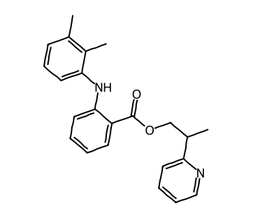 Cc1cccc(Nc2ccccc2C(=O)OCC(C)c2ccccn2)c1C